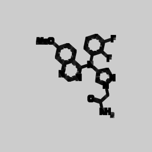 COc1ccc2c(N(c3cnn(CC(N)=O)c3)c3cccc(F)c3F)ncnc2c1